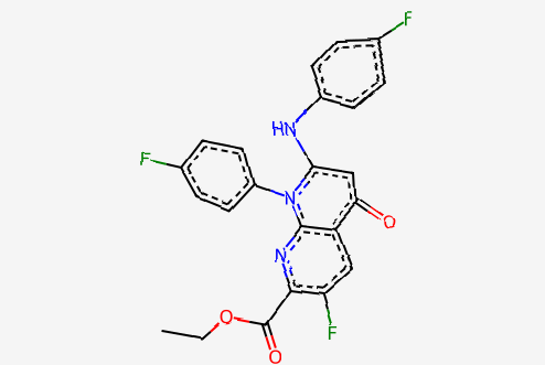 CCOC(=O)c1nc2c(cc1F)c(=O)cc(Nc1ccc(F)cc1)n2-c1ccc(F)cc1